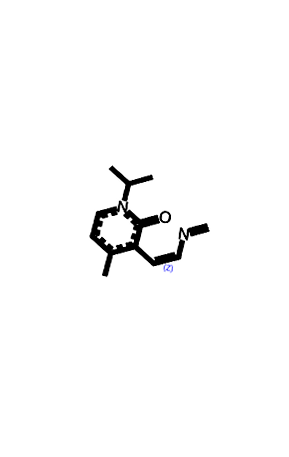 C=N/C=C\c1c(C)ccn(C(C)C)c1=O